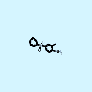 Nc1ccc(S(=O)(=O)c2ccccc2)cc1I